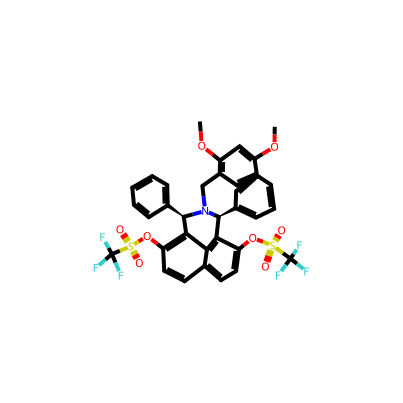 COc1ccc(CN2[C@H](c3ccccc3)c3c(OS(=O)(=O)C(F)(F)F)ccc4ccc(OS(=O)(=O)C(F)(F)F)c(c34)[C@@H]2c2ccccc2)c(OC)c1